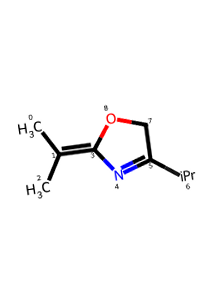 CC(C)=C1N=C(C(C)C)CO1